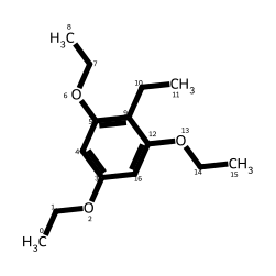 CCOc1cc(OCC)c(CC)c(OCC)c1